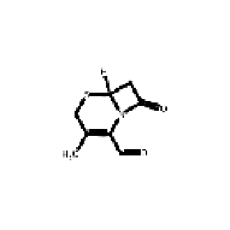 CC1=C(C=O)N2C(=O)C[C@H]2SC1